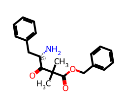 CC(C)(C(=O)OCc1ccccc1)C(=O)[C@@H](N)Cc1ccccc1